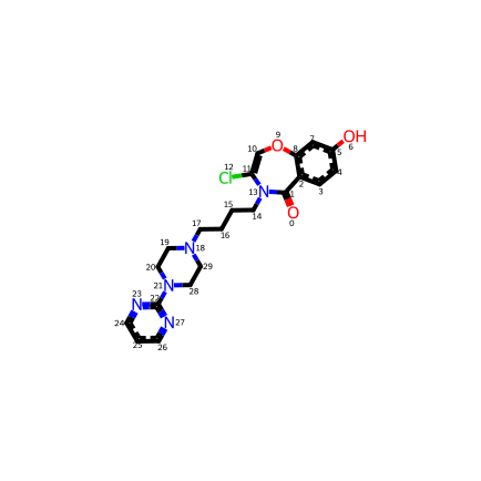 O=C1c2ccc(O)cc2OC=C(Cl)N1CCCCN1CCN(c2ncccn2)CC1